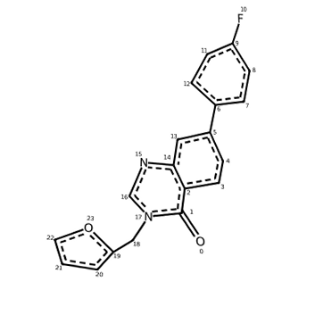 O=c1c2ccc(-c3ccc(F)cc3)cc2ncn1Cc1ccco1